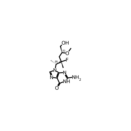 CO[C@H](CO)C[C@](C)(F)[C@@H](C)n1cnc2c(=O)[nH]c(N)nc21